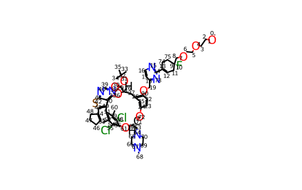 COCCOCCOC[C@@]1(F)CC=C(c2nccc(COc3ccc4cc3C[C@H](C(=O)OC(C)(C)C)Oc3ncnc5sc(C6=CCCC6)c(c35)-c3c(C)c(Cl)c(c(Cl)c3C)O[C@H](CN3CCN(C)CC3)CO4)n2)CC1